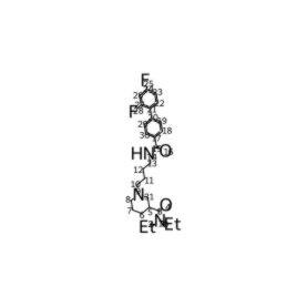 CCN(CC)C(=O)C1CCCN(CCCCNC(=O)c2ccc(-c3ccc(F)cc3F)cc2)C1